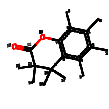 Cc1c(C)c(C)c2c(c1C)OC(=O)C(C)(C)C2(C)C